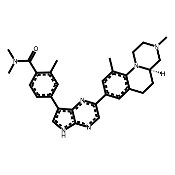 Cc1cc(-c2c[nH]c3ncc(-c4cc(C)c5c(c4)CC[C@@H]4CN(C)CCN54)nc23)ccc1C(=O)N(C)C